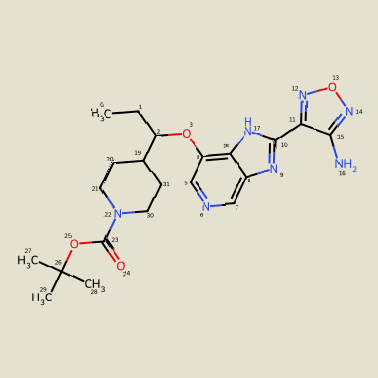 CCC(Oc1cncc2nc(-c3nonc3N)[nH]c12)C1CCN(C(=O)OC(C)(C)C)CC1